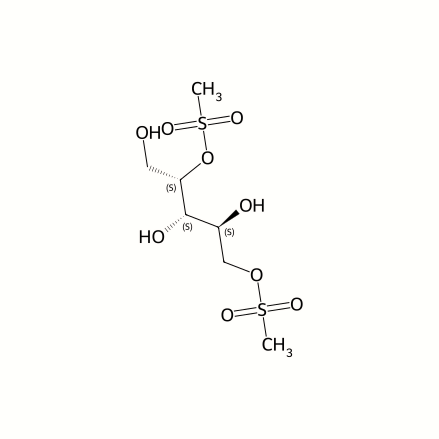 CS(=O)(=O)OC[C@H](O)[C@H](O)[C@H](CO)OS(C)(=O)=O